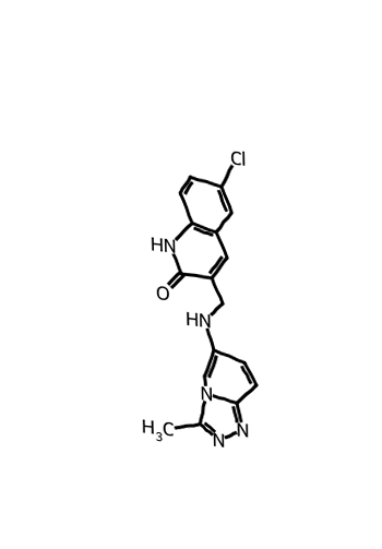 Cc1nnc2ccc(NCc3cc4cc(Cl)ccc4[nH]c3=O)cn12